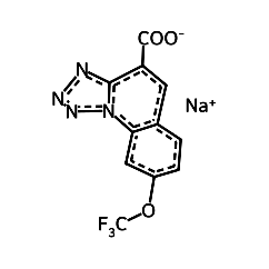 O=C([O-])c1cc2ccc(OC(F)(F)F)cc2n2nnnc12.[Na+]